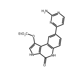 CCOC(=O)Oc1c[nH]c2c(=O)[nH]c3ccc(-c4ccnc(N)n4)cc3c12